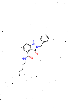 CCCCCNC(=O)c1cccc2[nH]n(Cc3ccccc3)c(=O)c12